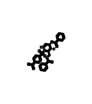 N=C[C@H](OC(=O)c1ccccc1)[C@H](F)[C@@H](COC(=O)c1ccccc1)OS(=O)(=O)c1ccc([N+](=O)[O-])cc1